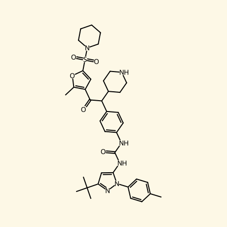 Cc1ccc(-n2nc(C(C)(C)C)cc2NC(=O)Nc2ccc(C(C(=O)c3cc(S(=O)(=O)N4CCCCC4)oc3C)C3CCNCC3)cc2)cc1